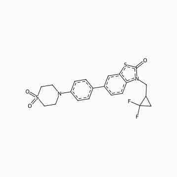 O=c1sc2cc(-c3ccc(N4CCS(=O)(=O)CC4)cc3)ccc2n1CC1CC1(F)F